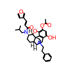 CC(=O)Oc1cc(O)c2c3c1O[C@H]1[C@@H](N(CC(C)C)C(=O)/C=C/c4ccoc4)CC[C@H]4[C@@H](C2)N(CCc2ccccc2)CC[C@@]341